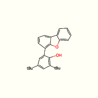 CC(C)(C)c1cc(-c2cccc3c2oc2ccccc23)c(O)c(C(C)(C)C)c1